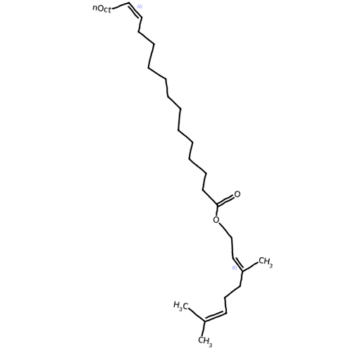 CCCCCCCC/C=C\CCCCCCCCCCCC(=O)OC/C=C(\C)CCC=C(C)C